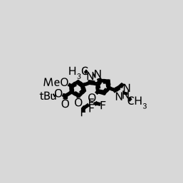 COc1cc(-c2c3c(OC(F)F)cc(-c4cnn(C)n4)cc3nn2C)cc(OC(F)F)c1C(=O)OC(C)(C)C